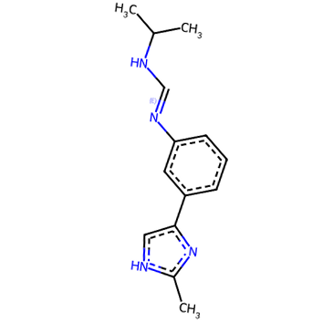 Cc1nc(-c2cccc(/N=C/NC(C)C)c2)c[nH]1